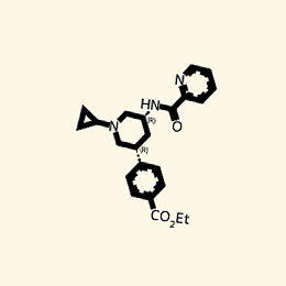 CCOC(=O)c1ccc([C@H]2C[C@@H](NC(=O)c3ccccn3)CN(C3CC3)C2)cc1